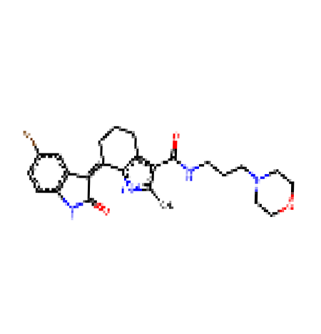 Cc1[nH]c2c(c1C(=O)NCCCN1CCOCC1)CCC/C2=C1/C(=O)Nc2ccc(Br)cc21